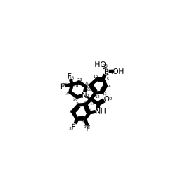 O=C1Nc2c(ccc(F)c2F)[C@@]1(c1ccc(B(O)O)cc1)N1CCC(F)(F)CC1